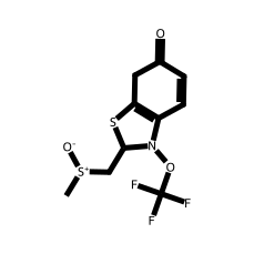 C[S+]([O-])CC1SC2=C(C=CC(=O)C2)N1OC(F)(F)F